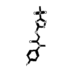 CN(C(=O)COc1nc(S(C)(=O)=O)ns1)c1ccc(F)cc1